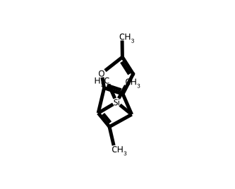 CC1=C2c3oc(C)cc3C1[Si]2(C)C